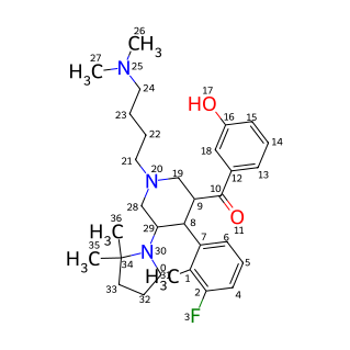 Cc1c(F)cccc1C1C(C(=O)c2cccc(O)c2)CN(CCCCN(C)C)CC1N1CCCC1(C)C